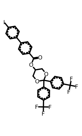 O=C(OC1COC(c2ccc(C(F)(F)F)cc2)(c2ccc(C(F)(F)F)cc2)OC1)c1ccc(-c2ccc(I)cc2)cc1